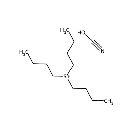 CCC[CH2][Sn]([CH2]CCC)[CH2]CCC.N#CO